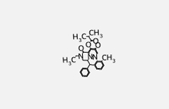 CCN1CC(C(c2ccccc2)c2cccc(C)c2)n2ncc(=O)c(OC(=O)C(C)C)c2C1=O